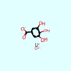 O=C([O-])c1cc(O)c(O)c(O)c1.[Li+].[O-2]